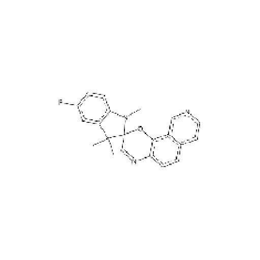 CN1c2ccc(F)cc2C(C)(C)C12C=Nc1ccc3ccncc3c1O2